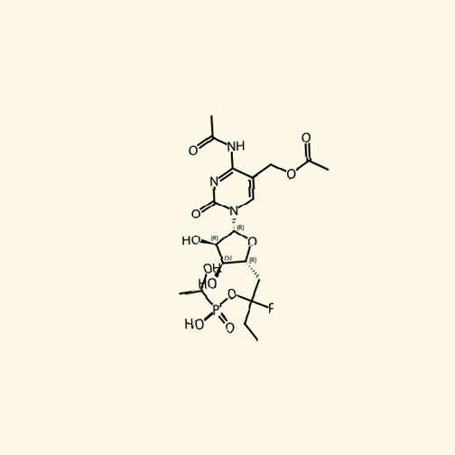 CCC(F)(C[C@H]1O[C@@H](n2cc(COC(C)=O)c(NC(C)=O)nc2=O)[C@H](O)[C@@H]1O)OP(=O)(O)C(C)O